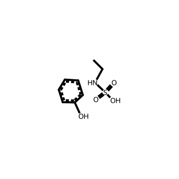 CCNS(=O)(=O)O.Oc1ccccc1